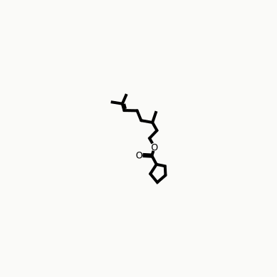 CC(C)=CCCC(C)CCOC(=O)C1CCCC1